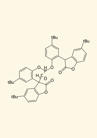 CC(C)(C)c1ccc2c(c1)C(c1cc(C(C)(C)C)ccc1O[PH](=O)Oc1ccc(C(C)(C)C)cc1C1(C)C(=O)Oc3ccc(C(C)(C)C)cc31)C(=O)O2